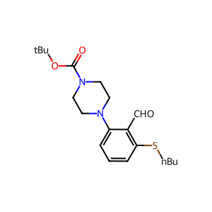 CCCCSc1cccc(N2CCN(C(=O)OC(C)(C)C)CC2)c1C=O